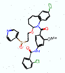 COc1cc(NC(=O)c2ccccc2Cl)ccc1C(=O)N1c2ccc(Cl)cc2CCCC1OCC[S+]([O-])c1ccncc1